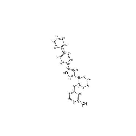 Oc1cccc(CN2CCCCC2c2coc(-c3ccc(-c4ccccc4)cc3)n2)c1